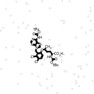 CC(CC[C@@H](NC(=O)OC(C)(C)C)C(=O)O)Oc1ccc(Cl)c(Cl)c1Cn1cnc2c(NC(=O)OC(C)(C)C)ncnc21